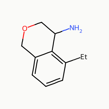 CCc1cccc2c1C(N)COC2